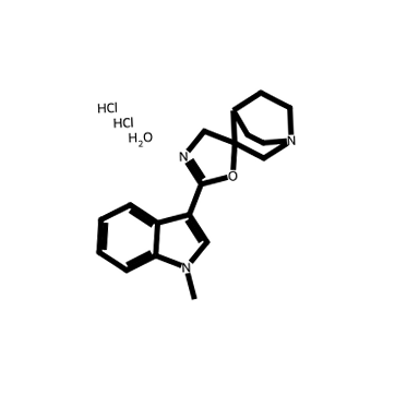 Cl.Cl.Cn1cc(C2=NCC3(CN4CCC3CC4)O2)c2ccccc21.O